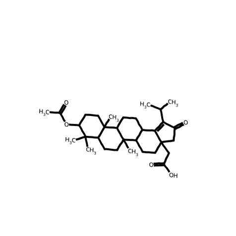 CC(=O)OC1CCC2(C)C(CCC3(C)C4CCC5(CC(=O)O)CC(=O)C(C(C)C)=C5C4CCC32)C1(C)C